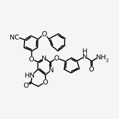 N#Cc1cc(Oc2ccccc2)cc(Oc2nc(Oc3cccc(NC(N)=O)c3)nc3c2NC(=O)CO3)c1